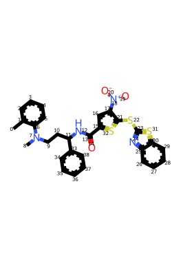 Cc1ccccc1N(C)CCC(NC(=O)c1cc([N+](=O)[O-])c(Sc2nc3ccccc3s2)s1)c1ccccc1